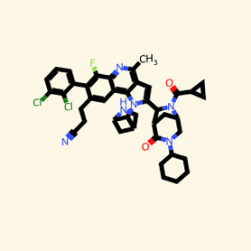 Cc1nc2c(F)c(-c3cccc(Cl)c3Cl)c(CCC#N)cc2c2c1cc(C1C3CC(CN(C4CCCCC4)C3=O)N1C(=O)C1CC1)n2C1C2CNC1C2